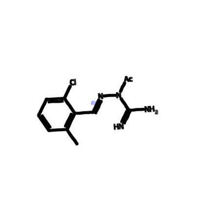 CC(=O)N(/N=C/c1c(C)cccc1Cl)C(=N)N